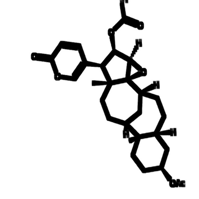 CC(=O)O[C@H]1CC[C@@]2(C)[C@H](CC[C@@H]3C[C@@H]2CC[C@]2(C)[C@@H](c4ccc(=O)oc4)[C@@H](OC(=O)C(C)C)[C@H]4O[C@]342)C1